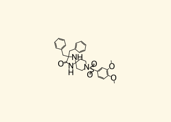 COc1ccc(S(=O)(=O)N2CCC3(CC2)NC(=O)C(Cc2ccccc2)(Cc2ccccc2)N3)cc1OC